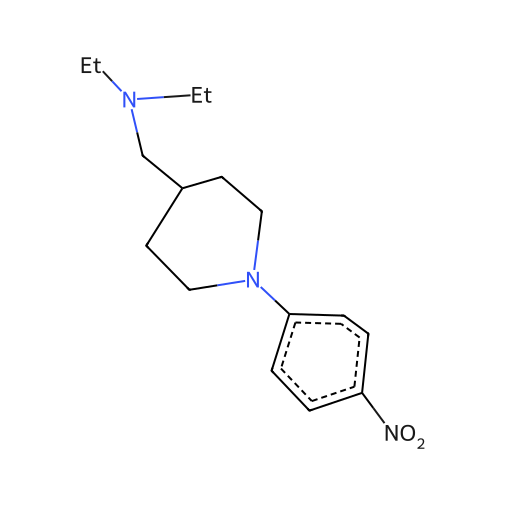 CCN(CC)CC1CCN(c2ccc([N+](=O)[O-])cc2)CC1